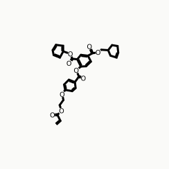 C=CC(=O)OCCOc1ccc(C(=O)Oc2ccc(C(=O)OCC3CC=CCC3)cc2C(=O)Oc2ccccc2)cc1